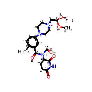 COC(CN1CCN(c2ccc(C)c(C(=O)N(C=O)C3CCC(=O)NC3=O)c2)CC1)OC